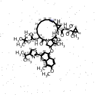 COc1ccc2c(O[C@H]3CN4C(=O)[C@@H](NC(=O)OC(C)(C)C)CCCCC/C=C\[C@@H]5C[C@@]5(C(=O)NS(=O)(=O)C5(C)CC5)NC(=O)[C@@H]4C3C)cc(-c3nc(C(C)C)cs3)nc2c1C